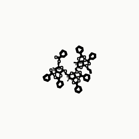 C=CCOC1O[C@H](CO[C@@H]2O[C@H](CO[C@@H]3O[C@H](COC(=O)c4ccccc4)[C@@H](C)[C@H](OC(=O)c4ccccc4)C3OC(=O)c3ccccc3)[C@@H](C)[C@H](OC(=O)c3ccccc3)[C@H]2OC(=O)c2ccccc2)[C@@H](C)[C@H](OC(=O)c2ccccc2)[C@H]1OC(=O)c1ccccc1